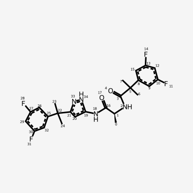 C[C@H](NC(=O)C(C)(C)c1cc(F)cc(F)c1)C(=O)Nc1cc(C(C)(C)c2cc(F)cc(F)c2)n[nH]1